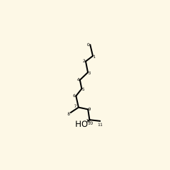 CCCCCCCC(C)CC(C)O